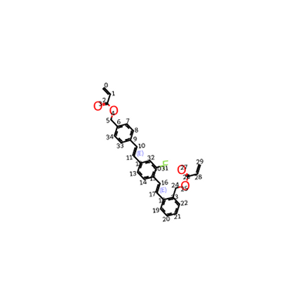 C=CC(=O)OCc1ccc(/C=C/c2ccc(/C=C/c3ccccc3COC(=O)C=C)c(F)c2)cc1